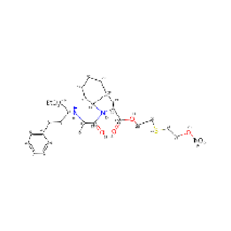 CCOC(=O)C(CCc1ccccc1)NC(C)C(=O)N1C(C(=O)OCCSCCO[N+](=O)[O-])CC2CCCCC21